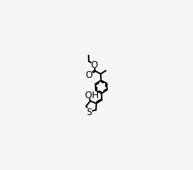 CCOC(=O)C(C)c1ccc(/C=C2/CSCC2O)cc1